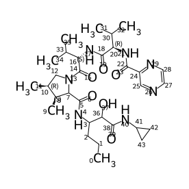 CCCC(NC(=O)C1[C@@H](C)[C@@H](C)CN1C(=O)[C@@H](NC(=O)[C@H](NC(=O)c1cnccn1)C(C)C)C(C)C)C(O)C(=O)NC1CC1